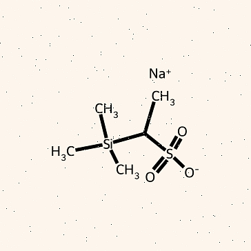 CC([Si](C)(C)C)S(=O)(=O)[O-].[Na+]